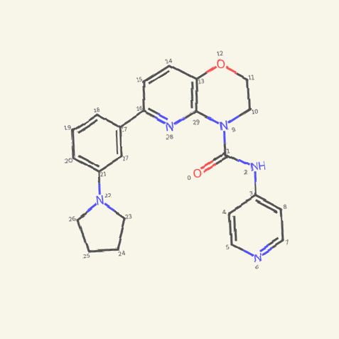 O=C(Nc1ccncc1)N1CCOc2ccc(-c3cccc(N4CCCC4)c3)nc21